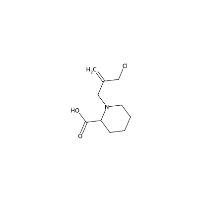 C=C(CCl)CN1CCCCC1C(=O)O